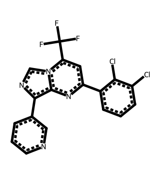 FC(F)(F)c1cc(-c2cccc(Cl)c2Cl)nc2c(-c3cccnc3)ncn12